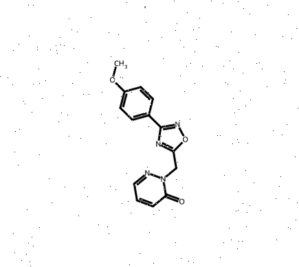 COc1ccc(-c2noc(Cn3ncccc3=O)n2)cc1